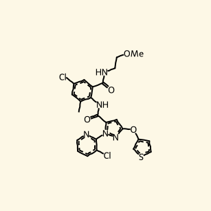 COCCNC(=O)c1cc(Cl)cc(C)c1NC(=O)c1cc(Oc2ccsc2)nn1-c1ncccc1Cl